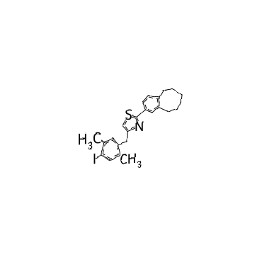 Cc1cc(Cc2csc(-c3ccc4c(c3)CCCCCC4)n2)c(C)cc1I